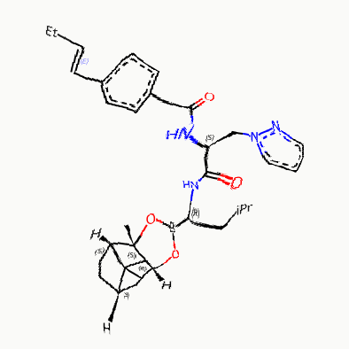 CC/C=C/c1ccc(C(=O)N[C@@H](Cn2cccn2)C(=O)N[C@@H](CC(C)C)B2O[C@@H]3C[C@@H]4C[C@@H](C4(C)C)[C@]3(C)O2)cc1